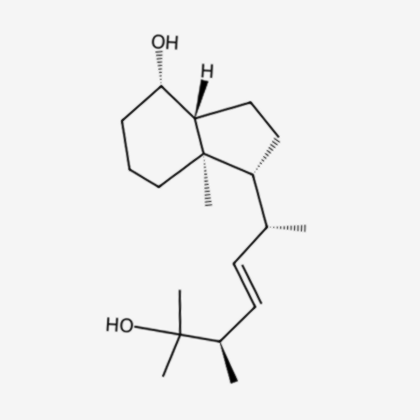 C[C@H](/C=C/[C@@H](C)C(C)(C)O)[C@H]1CC[C@H]2[C@@H](O)CCC[C@]12C